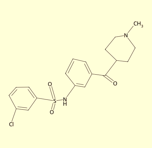 CN1CCC(C(=O)c2cccc(NS(=O)(=O)c3cccc(Cl)c3)c2)CC1